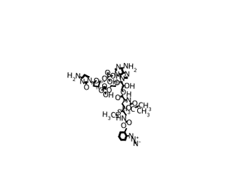 CSS[C@@H](CC[C@H](NC(=O)OC(C)(C)C)C(=O)OC[C@@H](O)[C@@H](OCCOP(=O)(O)O[C@H]1C[C@H](n2ccc(N)nc2=O)O[C@@H]1COP(=O)(O)O)n1cnc2c(N)ncnc21)CNC(=O)OCc1ccccc1N=[N+]=[N-]